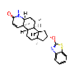 C[C@H]1C[C@H]2NC(=O)C=C[C@]2(C)[C@H]2CC[C@]3(C)C[C@@H](Oc4nc5ccccc5s4)C[C@H]3[C@H]12